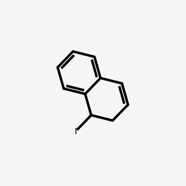 IC1CC=Cc2ccccc21